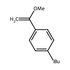 C=C(OC)c1ccc(C(C)CC)cc1